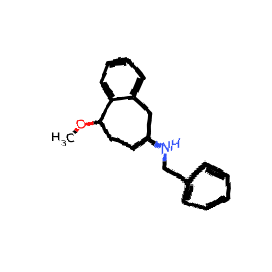 COC1CCC(NCc2ccccc2)Cc2ccccc21